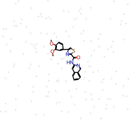 COc1ccc(-c2csc(C(=O)Nc3cc4ccccc4cn3)n2)cc1OC